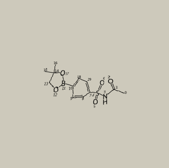 CC(=O)NS(=O)(=O)c1ccc(B2OCC(C)(C)O2)cc1